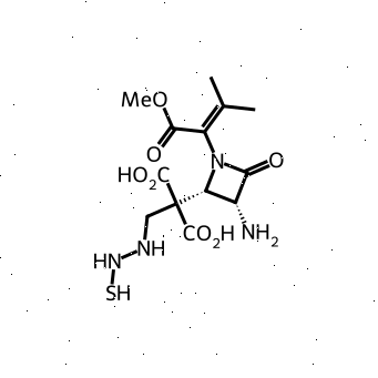 COC(=O)C(=C(C)C)N1C(=O)[C@H](N)[C@@H]1C(CNNS)(C(=O)O)C(=O)O